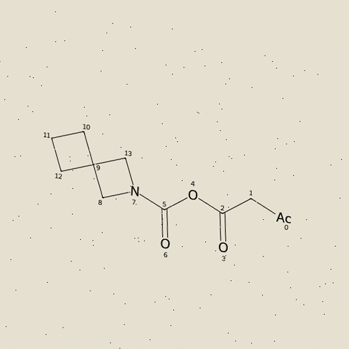 CC(=O)CC(=O)OC(=O)N1CC2(CCC2)C1